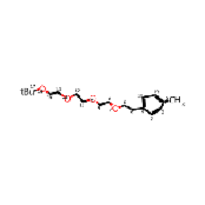 Cc1ccc(CCOCCOCCOCCOC(C)(C)C)cc1